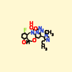 Cc1ncn(C)c1-c1cc2c(n3cnnc13)N(C(=O)O)Cc1c(F)ccc3c1[C@@H](CO3)CO2